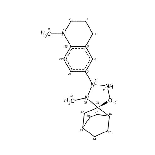 CN1CCCc2cc(N3NO[C@@]4(CC5CCC4CC5)N3C)ccc21